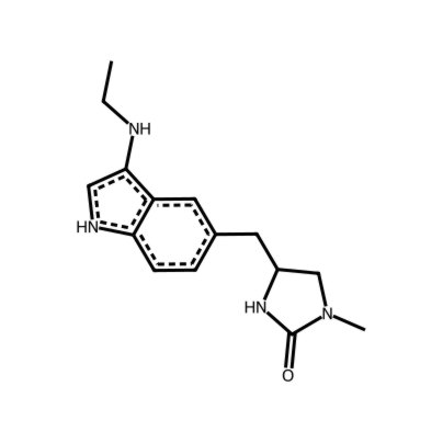 CCNc1c[nH]c2ccc(CC3CN(C)C(=O)N3)cc12